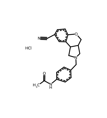 CC(=O)Nc1ccc(CN2CC3COc4ccc(C#N)cc4C3C2)cc1.Cl